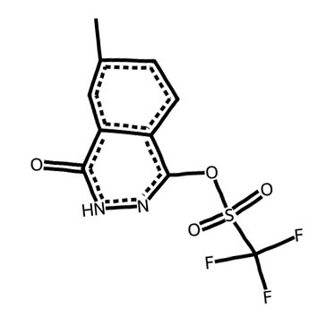 Cc1ccc2c(OS(=O)(=O)C(F)(F)F)n[nH]c(=O)c2c1